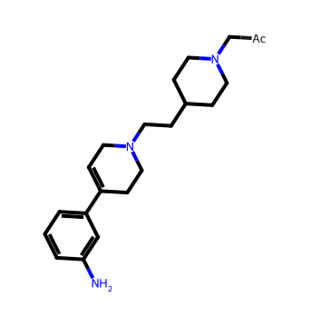 CC(=O)CN1CCC(CCN2CC=C(c3cccc(N)c3)CC2)CC1